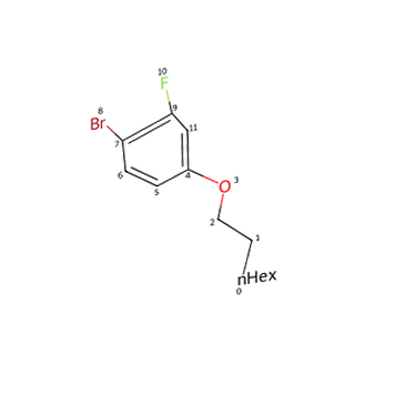 CCCCCCCCOc1ccc(Br)c(F)c1